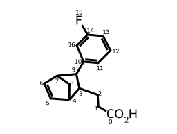 O=C(O)CCC1C2C=CC(C2)C1c1cccc(F)c1